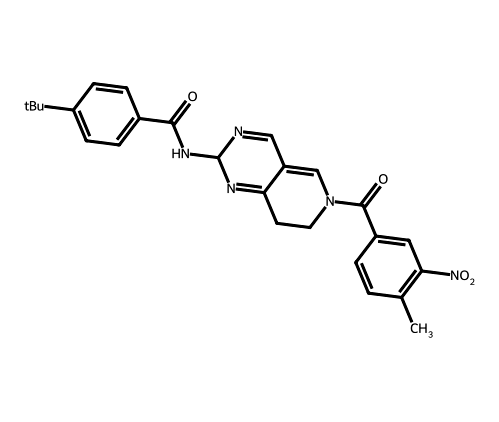 Cc1ccc(C(=O)N2C=C3C=NC(NC(=O)c4ccc(C(C)(C)C)cc4)N=C3CC2)cc1[N+](=O)[O-]